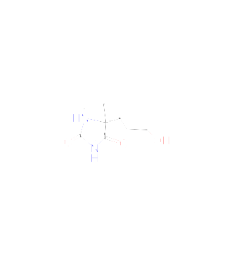 CC1(CCCO)NC(=O)NC1=O